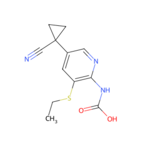 CCSc1cc(C2(C#N)CC2)cnc1NC(=O)O